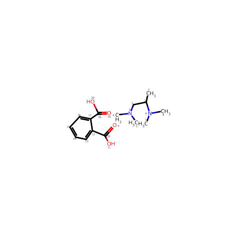 CC(CN(C)C)N(C)C.O=C(O)c1ccccc1C(=O)O